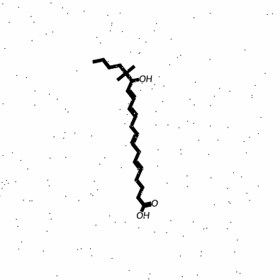 CCCCC(C)(C)C(O)C=CC=CCC=CCC=CCCCC(=O)O